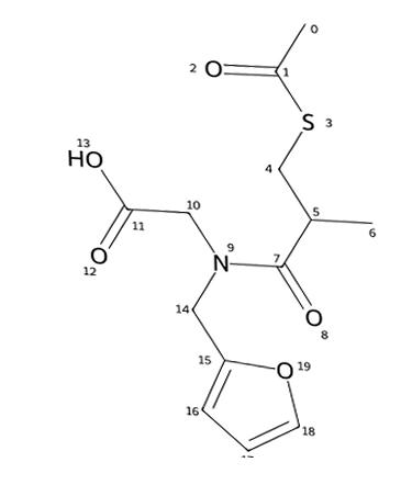 CC(=O)SCC(C)C(=O)N(CC(=O)O)Cc1ccco1